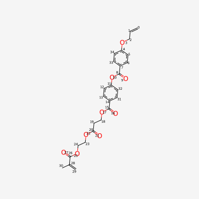 C=CCOc1ccc(C(=O)Oc2ccc(C(=O)OCCC(=O)OCCOC(=O)C(=C)C)cc2)cc1